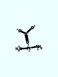 O=[N+]([O-])[O-].[NH2][Pt+][NH2]